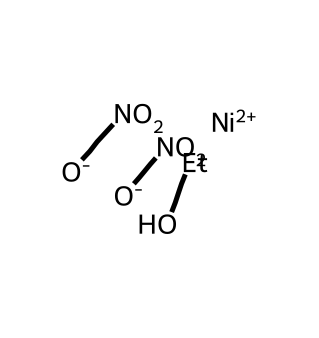 CCO.O=[N+]([O-])[O-].O=[N+]([O-])[O-].[Ni+2]